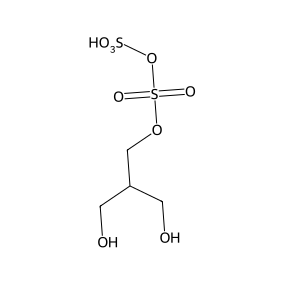 O=S(=O)(O)OS(=O)(=O)OCC(CO)CO